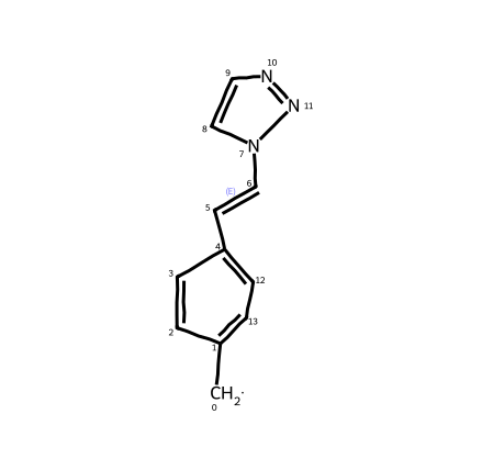 [CH2]c1ccc(/C=C/n2ccnn2)cc1